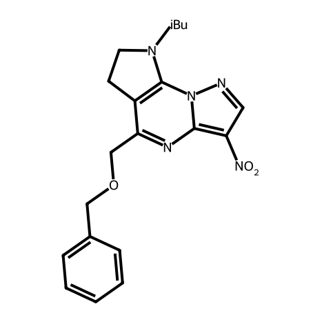 CCC(C)N1CCc2c(COCc3ccccc3)nc3c([N+](=O)[O-])cnn3c21